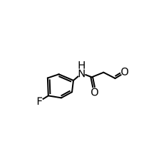 O=CCC(=O)Nc1ccc(F)cc1